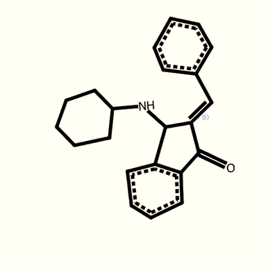 O=C1/C(=C/c2ccccc2)C(NC2CCCCC2)c2ccccc21